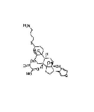 C[C@]12CC[C@H](SCCCN)C=C1CC[C@@H]1[C@@H]2CC[C@]2(C)[C@@H](c3ccoc3)CC[C@]12O.O=C(O)C(=O)O